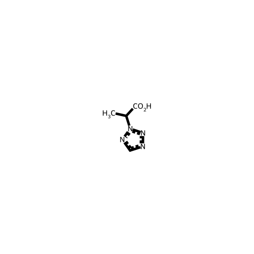 CC(C(=O)O)n1ncnn1